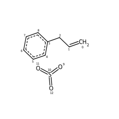 C=CCc1ccccc1.O=S(=O)=O